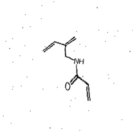 C=CC(=C)CNC(=O)C=C